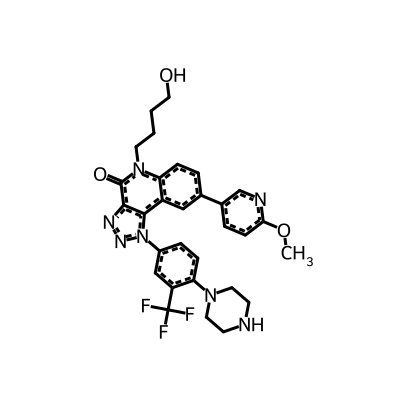 COc1ccc(-c2ccc3c(c2)c2c(nnn2-c2ccc(N4CCNCC4)c(C(F)(F)F)c2)c(=O)n3CCCCO)cn1